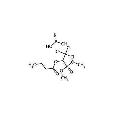 CCCC(=O)OC(C(Cl)(Cl)Cl)P(=O)(OC)OC.O[PH](O)=S